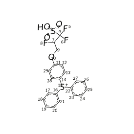 O=S(=O)(O)C(F)(F)C(F)COc1ccc([S+](c2ccccc2)c2ccccc2)cc1